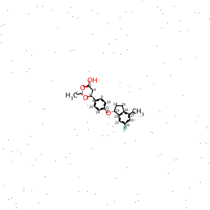 CCO[C@@H](CC(=O)O)c1ccc(O[C@@H]2CCc3c(C)cc(F)cc32)cc1